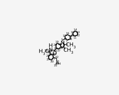 Cc1c(C)n(Cc2ccc(-c3ccccc3)cc2)c2ccc(C(=O)N[C@@H](C)c3cccc(CC4CC4)c3)cc12